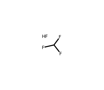 F.F[C](F)F